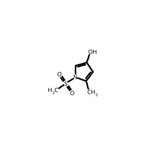 Cc1cc(O)cn1S(C)(=O)=O